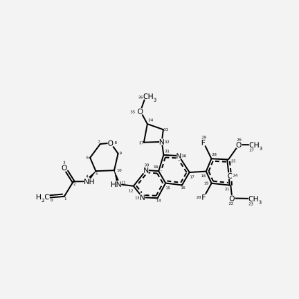 C=CC(=O)N[C@H]1CCOC[C@H]1Nc1ncc2cc(-c3c(F)c(OC)cc(OC)c3F)nc(N3CC(OC)C3)c2n1